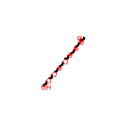 C=CC(=O)OCCCOCCCOCCCOCCCOCCCOCCCOCCCO